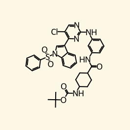 CC(C)(C)OC(=O)NC1CCC(C(=O)Nc2cccc(Nc3ncc(Cl)c(-c4cn(S(=O)(=O)c5ccccc5)c5ccccc45)n3)c2)CC1